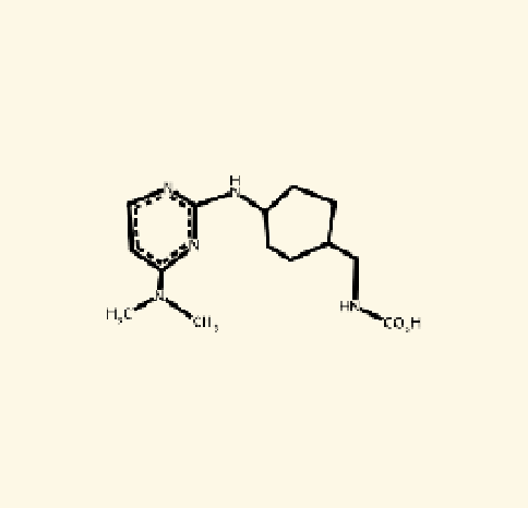 CN(C)c1ccnc(NC2CCC(CNC(=O)O)CC2)n1